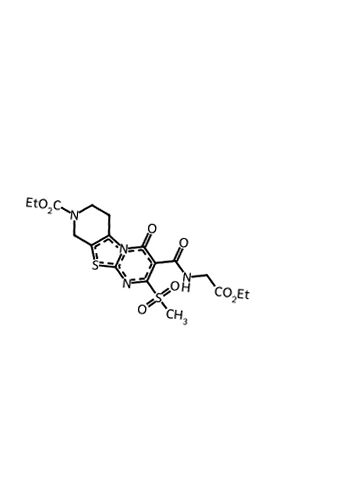 CCOC(=O)CNC(=O)c1c(S(C)(=O)=O)nc2sc3c(n2c1=O)CCN(C(=O)OCC)C3